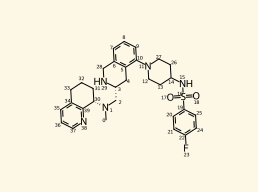 CN(C[C@H]1Cc2c(cccc2N2CCC(NS(=O)(=O)c3ccc(F)cc3)CC2)CN1)[C@H]1CCCc2cccnc21